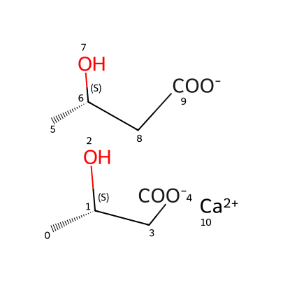 C[C@H](O)CC(=O)[O-].C[C@H](O)CC(=O)[O-].[Ca+2]